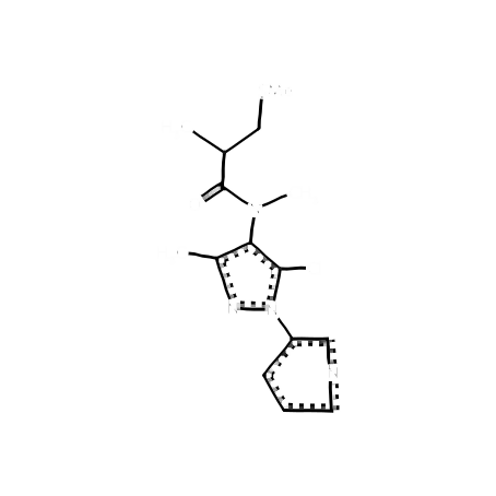 CSCC(C)C(=O)N(C)c1c(C)nn(-c2cccnc2)c1Cl